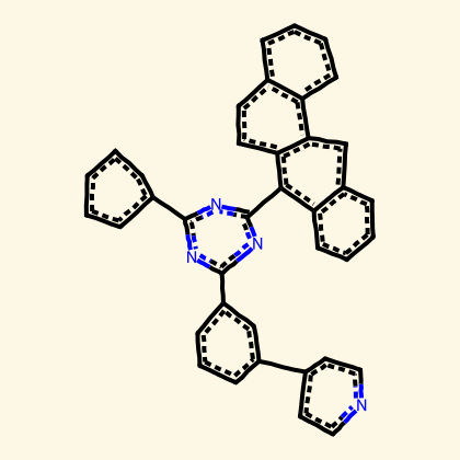 c1ccc(-c2nc(-c3cccc(-c4ccncc4)c3)nc(-c3c4ccccc4cc4c3ccc3ccccc34)n2)cc1